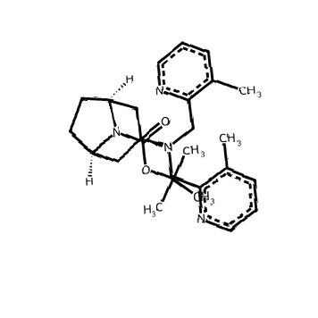 Cc1cccnc1CN(Cc1ncccc1C)[C@H]1C[C@H]2CC[C@@H](C1)N2C(=O)OC(C)(C)C